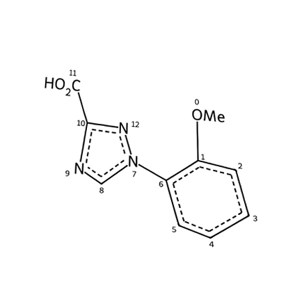 COc1ccccc1-n1cnc(C(=O)O)n1